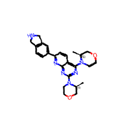 C[C@H]1COCCN1c1nc(N2CCOC[C@@H]2C)c2ccc(-c3ccc4c(c3)CNC4)nc2n1